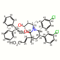 C[C@@H](CCO[Si](c1ccccc1)(c1ccccc1)C(C)(C)C)N1C(=O)[C@@](C)(C=CC(=O)O)C[C@H](c2cccc(Cl)c2)[C@H]1c1ccc(Cl)cc1